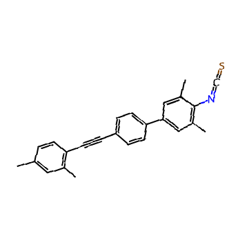 Cc1ccc(C#Cc2ccc(-c3cc(C)c(N=C=S)c(C)c3)cc2)c(C)c1